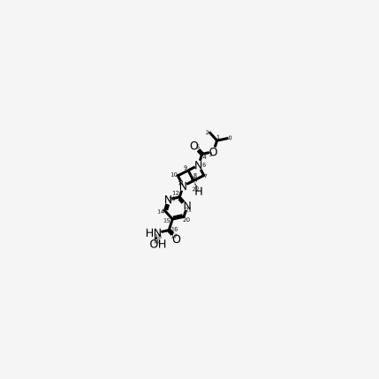 CC(C)OC(=O)N1C[C@@H]2C1CN2c1ncc(C(=O)NO)cn1